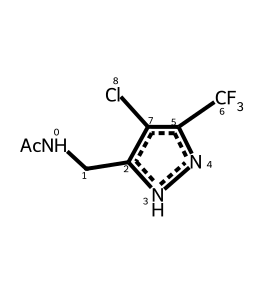 CC(=O)NCc1[nH]nc(C(F)(F)F)c1Cl